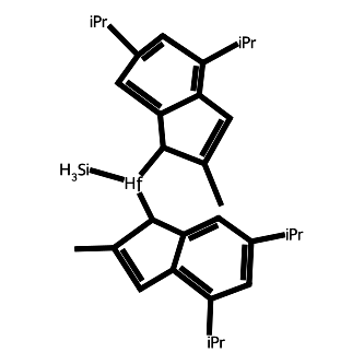 CC1=Cc2c(C(C)C)cc(C(C)C)cc2[CH]1[Hf]([SiH3])[CH]1C(C)=Cc2c(C(C)C)cc(C(C)C)cc21